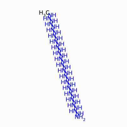 CNNNNNNNNNNNNNNNNNNNNNNNNNNNNNNNNNNNN